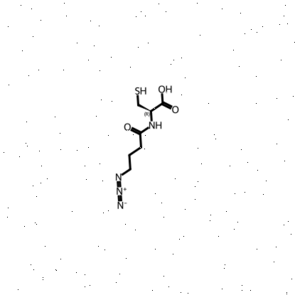 [N-]=[N+]=NCCCC(=O)N[C@@H](CS)C(=O)O